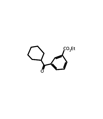 CCOC(=O)c1cccc(C(=O)C2CCCCC2)c1